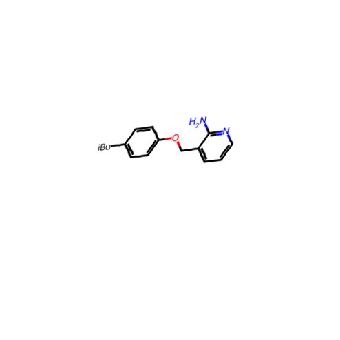 CCC(C)c1ccc(OCc2cccnc2N)cc1